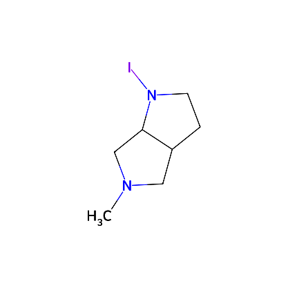 CN1CC2CCN(I)C2C1